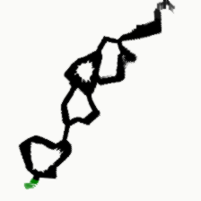 CCCC=CC1CCc2c(ccc3c2CCC(c2ccc(F)cc2)C3)C1